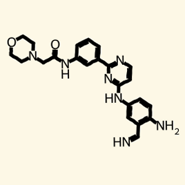 N=Cc1cc(Nc2ccnc(-c3cccc(NC(=O)CN4CCOCC4)c3)n2)ccc1N